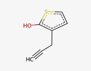 C#CCc1ccsc1O